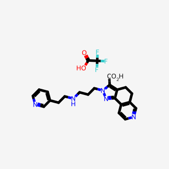 O=C(O)C(F)(F)F.O=C(O)c1c2c(nn1CCCNCCc1cccnc1)-c1ccncc1CC2